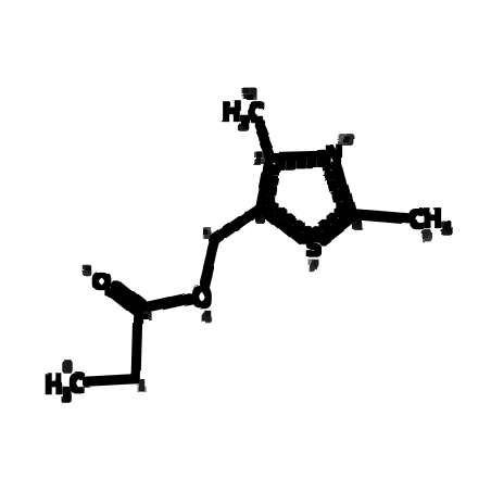 CCC(=O)OCc1sc(C)nc1C